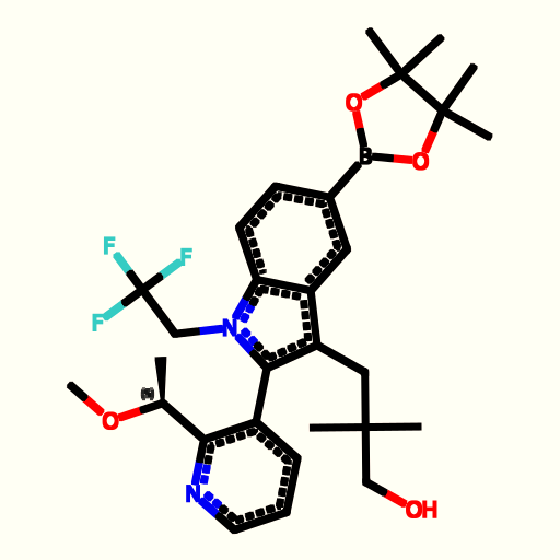 CO[C@@H](C)c1ncccc1-c1c(CC(C)(C)CO)c2cc(B3OC(C)(C)C(C)(C)O3)ccc2n1CC(F)(F)F